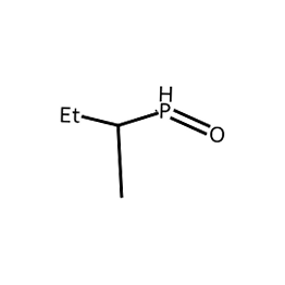 CCC(C)[PH]=O